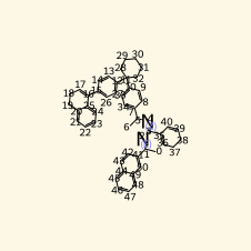 C/C(=N\C(=N/C(C)c1ccc(C2(c3ccc(C4=CCCc5ccccc54)cc3)CCCCC2)cc1)C1=CCCC=C1)c1ccc2ccccc2c1